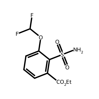 CCOC(=O)c1cccc(OC(F)F)c1S(N)(=O)=O